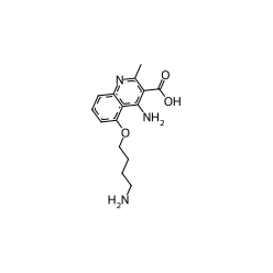 Cc1nc2cccc(OCCCCN)c2c(N)c1C(=O)O